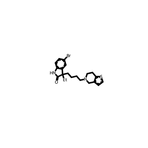 CCC1(CCCCN2CCc3sccc3C2)C(=O)Nc2ccc(Br)cc21